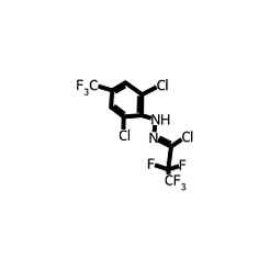 FC(F)(F)c1cc(Cl)c(NN=C(Cl)C(F)(F)C(F)(F)F)c(Cl)c1